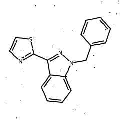 c1ccc(Cn2nc(-c3nccs3)c3ccccc32)cc1